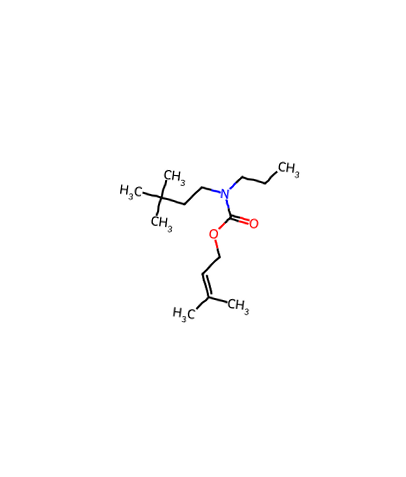 CCCN(CCC(C)(C)C)C(=O)OCC=C(C)C